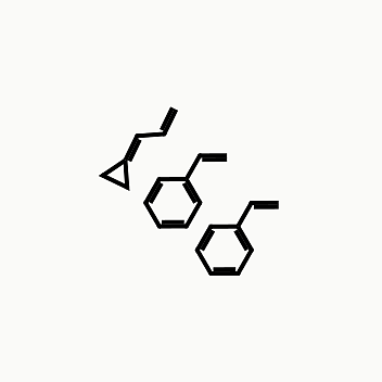 C=CC=C1CC1.C=Cc1ccccc1.C=Cc1ccccc1